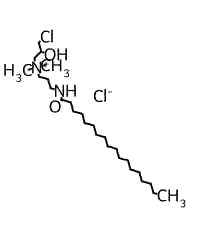 CCCCCCCCCCCCCCCCCC(=O)NCCC[N+](C)(C)CC(O)CCl.[Cl-]